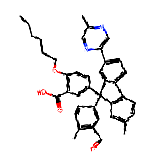 CCCCCCOc1ccc(C2(c3ccc(C)c(C=O)c3)c3cc(C)ccc3-c3ccc(-c4cnc(C)cn4)cc32)cc1C(=O)O